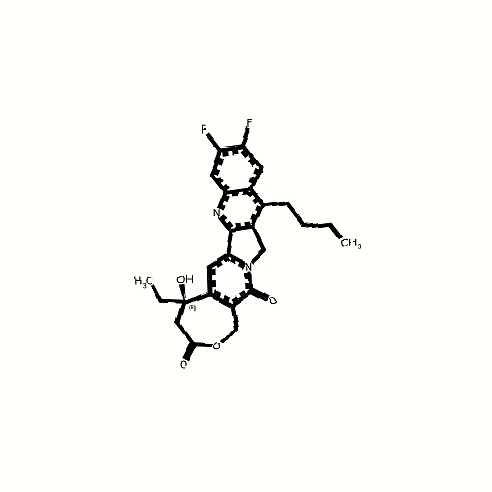 CCCCc1c2c(nc3cc(F)c(F)cc13)-c1cc3c(c(=O)n1C2)COC(=O)C[C@]3(O)CC